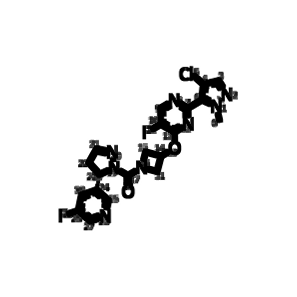 Cn1ncc(Cl)c1-c1ncc(F)c(OC2CN(C(=O)N3N=CC[C@H]3c3cncc(F)c3)C2)n1